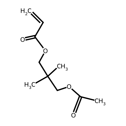 C=CC(=O)OCC(C)(C)COC(C)=O